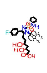 CC(C)n1c(S(=O)(=O)Nc2ccccc2)nc(-c2ccc(F)cc2)c1CCC(O)CC(O)CC(=O)O